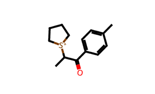 Cc1ccc(C(=O)C(C)[S+]2CCCC2)cc1